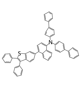 c1ccc(-c2ccc(N(c3ccc(-c4ccccc4)cc3)c3ccc(-c4ccc5c(-c6ccccc6)c(-c6ccccc6)sc5c4)c4ccccc34)cc2)cc1